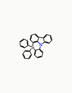 c1ccc([Si]2(c3ccccc3)c3ccccc3-n3c4ccccc4c4cccc2c43)cc1